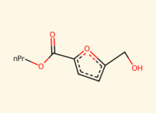 CCCOC(=O)c1ccc(CO)o1